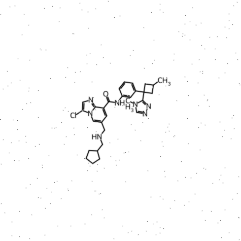 CC1CC(c2cccc(NC(=O)c3cc(CNCC4CCCC4)cn4c(Cl)cnc34)c2)(c2nncn2C)C1